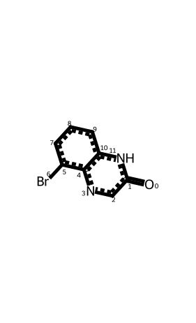 O=c1cnc2c(Br)cccc2[nH]1